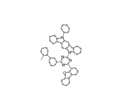 Cc1ccccc1-c1cccc(-c2nc(-c3cccc4c3oc3ccccc34)nc(-n3c4ccccc4c4cc5c(cc43)c3ccccc3n5-c3ccccc3)n2)c1